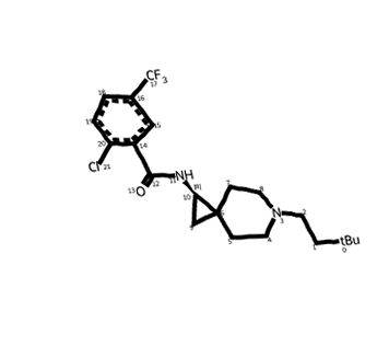 CC(C)(C)CCN1CCC2(CC1)C[C@H]2NC(=O)c1cc(C(F)(F)F)ccc1Cl